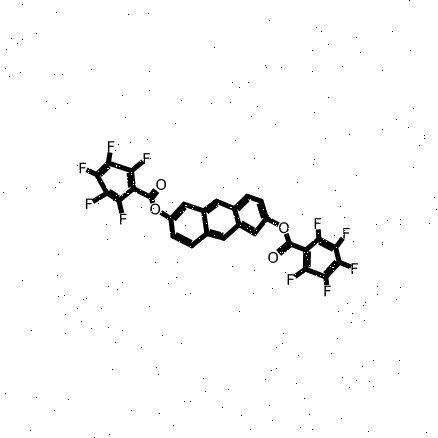 O=C(Oc1ccc2cc3cc(OC(=O)c4c(F)c(F)c(F)c(F)c4F)ccc3cc2c1)c1c(F)c(F)c(F)c(F)c1F